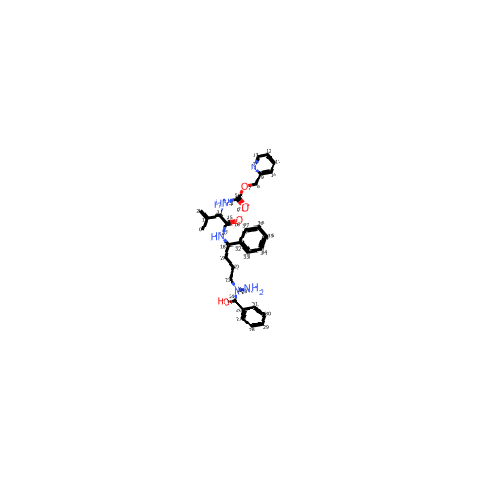 CC(C)[C@H](NC(=O)OCc1ccccn1)C(=O)NC(CCCN(N)C(O)c1ccccc1)c1ccccc1